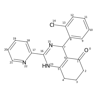 O=C1CCCC2=C1C(c1ccccc1Cl)N=C(c1ccccn1)N2